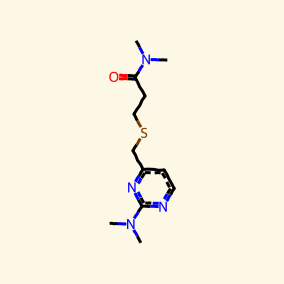 CN(C)C(=O)CCSCc1ccnc(N(C)C)n1